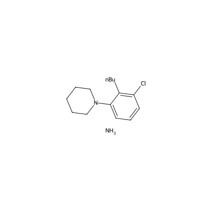 CCCCc1c(Cl)cccc1N1CCCCC1.N